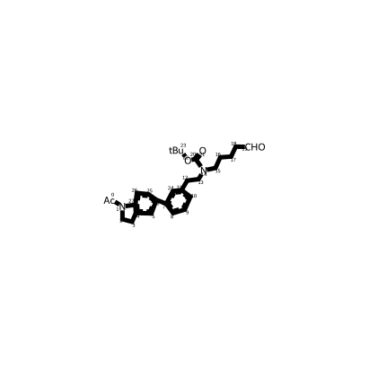 CC(=O)N1CCc2cc(-c3cccc(CCN(CCCCC=O)C(=O)OC(C)(C)C)c3)ccc21